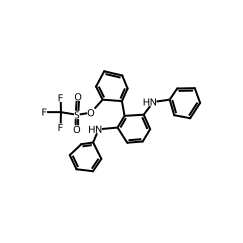 O=S(=O)(Oc1ccccc1-c1c(Nc2ccccc2)cccc1Nc1ccccc1)C(F)(F)F